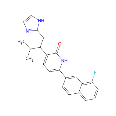 CC(C)C(Cc1ncc[nH]1)c1ccc(-c2ccc3cccc(F)c3c2)[nH]c1=O